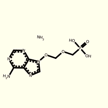 N.Nc1ncnc2c1ncn2OCOCP(=O)(O)O